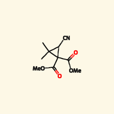 COC(=O)C1(C(=O)OC)C(C#N)C1(C)C